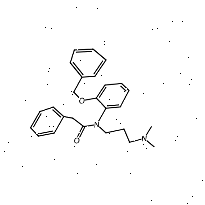 CN(C)CCCN(C(=O)Cc1ccccc1)c1ccccc1OCc1ccccc1